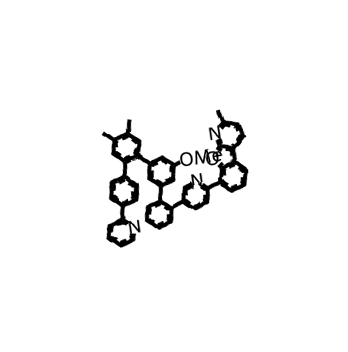 COc1cc(-c2ccccc2-c2ccc(-c3cccc4c3oc3nc(C)ccc34)nc2)cc(-c2cc(C)c(C)cc2-c2ccc(-c3ccccn3)cc2)c1